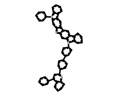 c1ccc(-c2cc(-c3ccc(-c4ccc(-n5c6ccccc6c6cc7c(cc65)sc5cc6c(cc57)c5ccccc5n6-c5ccccc5)cc4)cc3)nc3ccccc23)cc1